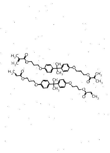 C=C(C)C(=O)OCCCOc1ccc(C(C)(C)c2ccc(OCCCOC(=O)C(=C)C)cc2)cc1.C=CC(=O)OCCCOc1ccc(C(C)(C)c2ccc(OCCCOC(=O)C=C)cc2)cc1